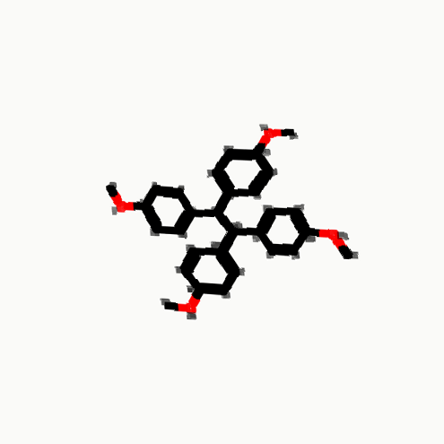 COc1ccc(C(c2ccc(OC)cc2)C(c2ccc(OC)cc2)c2ccc(OC)cc2)cc1